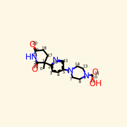 CC1(c2ccc(N3CCN(C(=O)O)CC3)cn2)CCC(=O)NC1=O